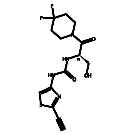 C#Cc1nc(NC(=O)N[C@@H](CO)C(=O)N2CCC(F)(F)CC2)cs1